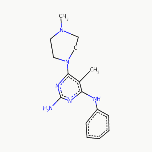 Cc1c(Nc2ccccc2)nc(N)nc1N1CCN(C)CC1